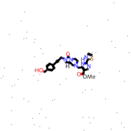 COC(=O)C1=C(CN2CCN3C(=O)N(CC#Cc4ccc(CO)cc4)C[C@@H]3C2)NC(c2nccs2)=NC1